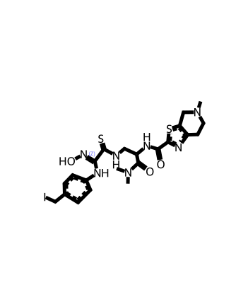 CN1CCc2nc(C(=O)NC(CNC(=S)/C(=N/O)Nc3ccc(CI)cc3)C(=O)N(C)C)sc2C1